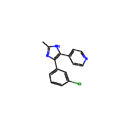 Cc1nc(-c2cccc(Cl)c2)c(-c2ccncc2)[nH]1